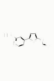 Cc1cc(-c2ccc(OC=O)s2)ccn1